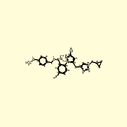 COc1ccc(CO[C@H](C)c2cc(F)ccc2-n2nc(Cl)cc2Cc2cn(CC3CC3)nn2)cc1